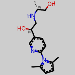 Cc1ccc(C)n1-c1ccc([C@@H](O)CN[C@H](C)CO)cn1